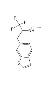 CCNC(Cc1ccc2ccsc2c1)C(F)(F)F